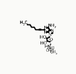 CCCCCCC#Cc1nc(N)c2ncn([C@@H]3O[C@H](CNS(C)(=O)=O)C(O)C3O)c2n1